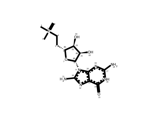 C=P(C)(C)CC[C@H]1O[C@@H](n2c(N)nc3c(=O)[nH]c(N)nc32)[C@H](O)[C@@H]1O